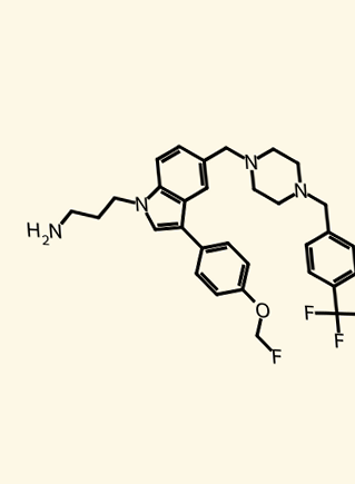 NCCCn1cc(-c2ccc(OCF)cc2)c2cc(CN3CCN(Cc4ccc(C(F)(F)F)cc4)CC3)ccc21